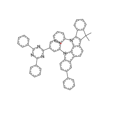 CC1(C)c2ccccc2-c2c1c1ccc3c4cc(-c5ccccc5)ccc4n(-c4cccc(-c5nc(-c6ccccc6)nc(-c6ccccc6)n5)c4)c3c1n2-c1ccccc1